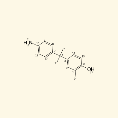 Cc1cc(C(C)(C)c2ccc(N)cc2)ccc1O